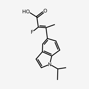 CC(=C(F)C(=O)O)c1ccc2c(ccn2C(C)C)c1